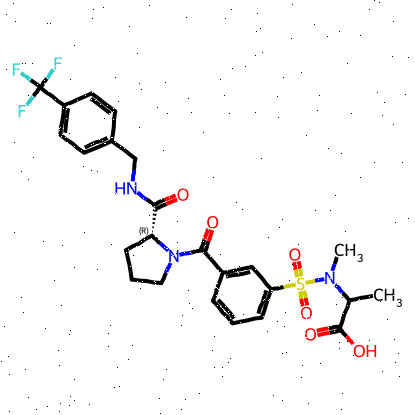 CC(C(=O)O)N(C)S(=O)(=O)c1cccc(C(=O)N2CCC[C@@H]2C(=O)NCc2ccc(C(F)(F)F)cc2)c1